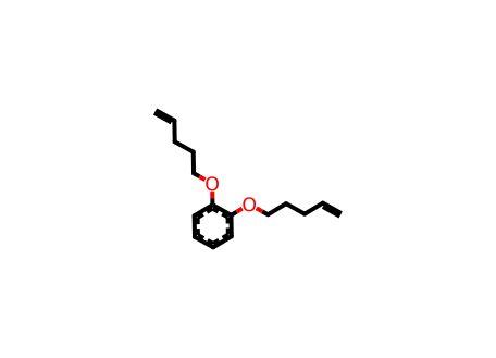 C=CCCCOc1ccccc1OCCCC=C